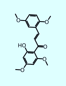 COc1ccc(OC)c(/C=C/C(=O)c2c(O)cc(OC)cc2OC)c1